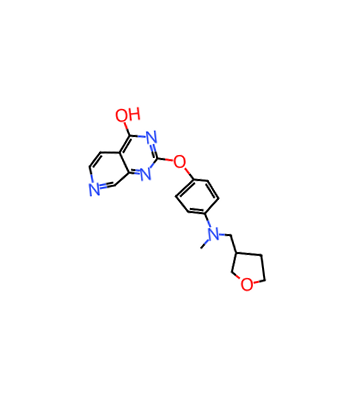 CN(CC1CCOC1)c1ccc(Oc2nc(O)c3ccncc3n2)cc1